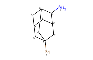 NC1C2CC3CC1CC(S)(C3)C2